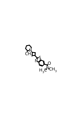 CC1CCCCN1C1CC(c2nc3ccc(C(=O)N(C)C)cc3s2)C1